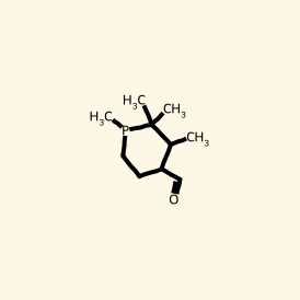 CC1C(C=O)CCP(C)C1(C)C